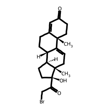 C[C@]12CCC(=O)C=C1CC[C@@H]1C2=CC[C@@]2(C)[C@H]1CC[C@@]2(O)C(=O)CBr